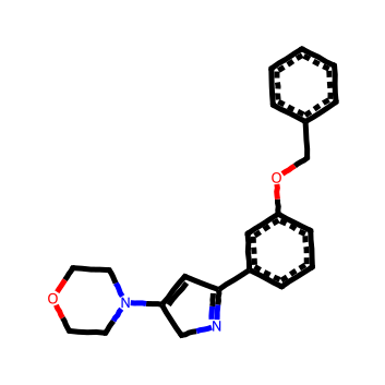 C1=C(N2CCOCC2)CN=C1c1cccc(OCc2ccccc2)c1